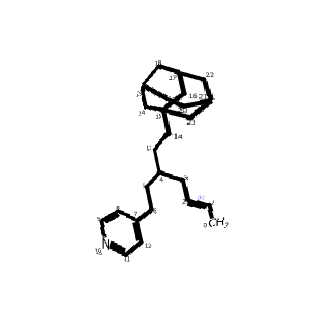 C/C=C/CC(C[CH]c1ccncc1)CCC12CC3CC(CC(C3)C1)C2